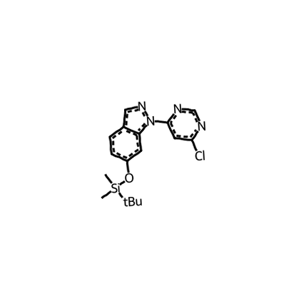 CC(C)(C)[Si](C)(C)Oc1ccc2cnn(-c3cc(Cl)ncn3)c2c1